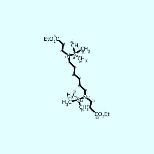 CCOC(=O)CCN(CCCCCCN(CCC(=O)OCC)S(C)(C)C)S(C)(C)C